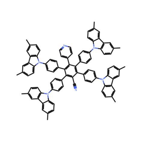 Cc1ccc2c(c1)c1cc(C)ccc1n2-c1ccc(-c2c(C#N)c(-c3ccc(-n4c5ccc(C)cc5c5cc(C)ccc54)cc3)c(-c3ccc(-n4c5ccc(C)cc5c5cc(C)ccc54)cc3)c(-c3ccncc3)c2-c2ccc(-n3c4ccc(C)cc4c4cc(C)ccc43)cc2)cc1